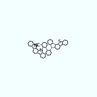 N#Cc1cccc(-c2ccccc2C2c3ccccc3-c3c2ccc2c3sc3ccccc32)c1-n1c2ccccc2c2ccc3c4ccccc4sc3c21